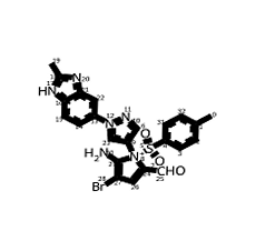 Cc1ccc(S(=O)(=O)[N+]2(c3cnn(-c4ccc5[nH]c(C)nc5c4)c3)C(C=O)=CC(Br)=C2N)cc1